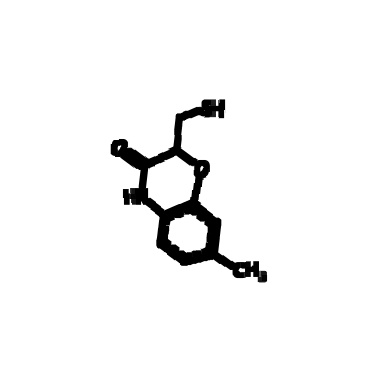 Cc1ccc2c(c1)OC(CS)C(=O)N2